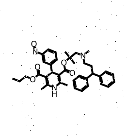 CCCOC(=O)C1=C(C)NC(C)=C(C(=O)OC(C)(C)CN(C)CCC(c2ccccc2)c2ccccc2)C1c1cccc(N=O)c1